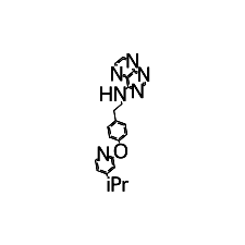 CC(C)c1ccnc(Oc2ccc(CCNc3ncnc4nccnc34)cc2)c1